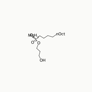 CCCCCCCCCCCCS(=O)(=O)OCCCO.[MgH2]